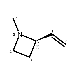 C=C[C@H]1CCN1C